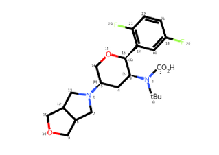 CC(C)(C)N(C(=O)O)[C@H]1C[C@@H](N2CC3COCC3C2)CO[C@H]1c1cc(F)ccc1F